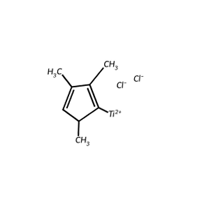 CC1=CC(C)[C]([Ti+2])=C1C.[Cl-].[Cl-]